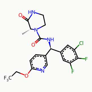 C[C@@H]1C(=O)NCCN1C(=O)N[C@H](c1ccc(OCC(F)(F)F)nc1)c1cc(F)c(F)c(Cl)c1